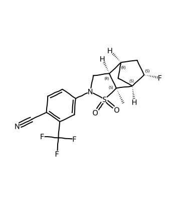 C[C@@]12[C@@H](CN(c3ccc(C#N)c(C(F)(F)F)c3)S1(=O)=O)[C@H]1C[C@H](F)[C@@H]2C1